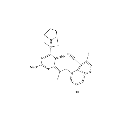 C#Cc1c(F)ccc2cc(O)cc(C/C(F)=C3/N=C(OC)N=C(N4CC5CCC(C4)N5)C3=N)c12